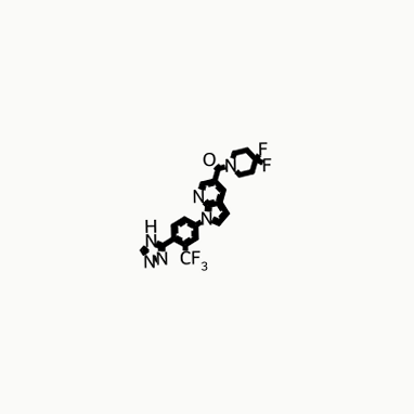 O=C(c1cnc2c(ccn2-c2ccc(-c3nnc[nH]3)c(C(F)(F)F)c2)c1)N1CCC(F)(F)CC1